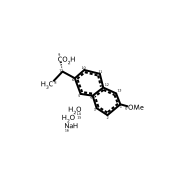 COc1ccc2cc([C@H](C)C(=O)O)ccc2c1.O.O.[NaH]